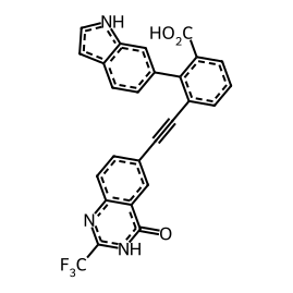 O=C(O)c1cccc(C#Cc2ccc3nc(C(F)(F)F)[nH]c(=O)c3c2)c1-c1ccc2cc[nH]c2c1